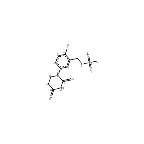 CS(=O)(=O)OCc1cc(N2CCC(=O)NC2=O)cnc1F